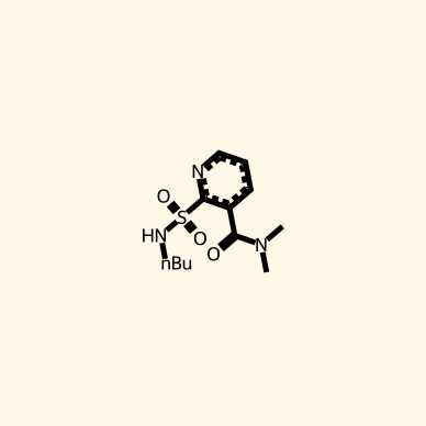 CCCCNS(=O)(=O)c1ncccc1C(=O)N(C)C